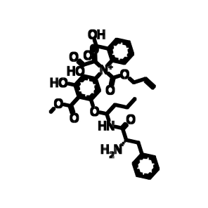 C=CCOC(=O)[N+](C(=O)C(=O)O)(c1cc(O)c(C(=O)OC)c(OC(CCC)NC(=O)[C@@H](N)Cc2ccccc2)c1)c1ccccc1C(=O)O